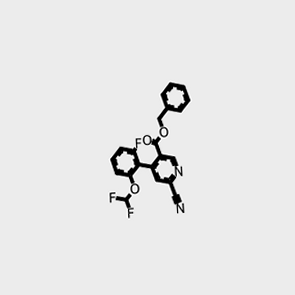 N#Cc1cc(-c2c(F)cccc2OC(F)F)c(C(=O)OCc2ccccc2)cn1